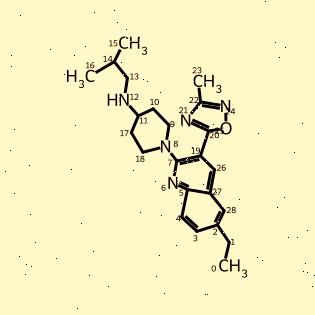 CCc1ccc2nc(N3CCC(NCC(C)C)CC3)c(-c3nc(C)no3)cc2c1